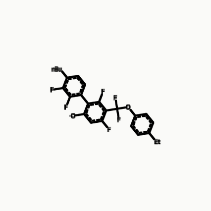 CCCCc1ccc(-c2c([O])cc(F)c(C(F)(F)Oc3ccc(CC)cc3)c2F)c(F)c1F